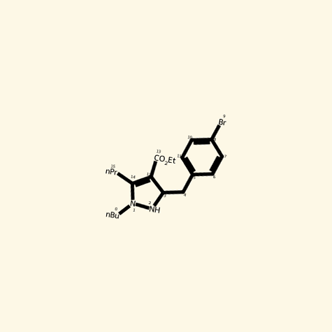 CCCCN1NC(Cc2ccc(Br)cc2)C(C(=O)OCC)=C1CCC